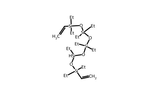 C=C[Si](CC)(CC)O[SiH](CC)O[Si](CC)(CC)O[Si](CC)(CC)O[Si](C=C)(CC)CC